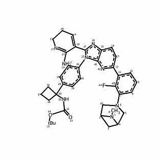 CN1C2CC1CN(c1cccc(-c3ccc4nc(C5=CCCN=C5N)n(-c5ccc(C6(NC(=O)OC(C)(C)C)CCC6)cc5)c4n3)c1F)C2